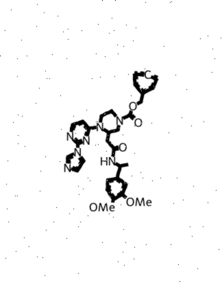 COc1ccc(C(C)NC(=O)CC2CN(C(=O)OCc3ccccc3)CCN2c2ccnc(-n3ccnc3)n2)cc1OC